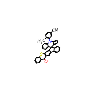 Cc1ccc(C#N)cc1N1c2ccccc2C2(c3ccccc3-c3cc4c(=O)c5ccccc5sc4cc32)c2ccccc21